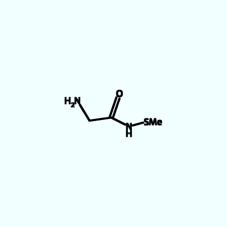 CSNC(=O)CN